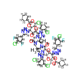 Cc1nc(C2OC3COC(c4ccccc4)OC3C(n3cc(-c4cc(F)c(Cl)c(F)c4)nn3)C2OCC(=O)N2CCCN(C(=O)COC3C(c4nc(C)nn4-c4cc(Cl)ccc4Cl)OC4COC(c5ccccc5)OC4C3n3cc(-c4cc(F)c(Cl)c(F)c4)nn3)CC2)n(-c2cc(Cl)ccc2Cl)n1